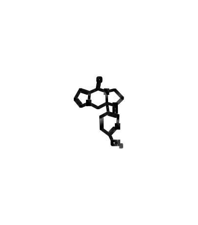 Cc1ccc(C23Cn4cccc4C(=O)N2CCN3)cn1